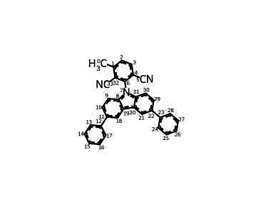 Cc1ccc(C#N)c(-n2c3ccc(-c4ccccc4)cc3c3cc(-c4ccccc4)ccc32)c1C#N